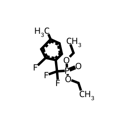 CCOP(=O)(OCC)C(F)(F)c1ccc(C)cc1F